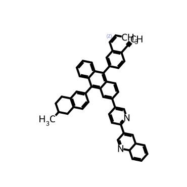 C#Cc1ccc(-c2c3ccccc3c(-c3ccc4c(c3)CCC(C)C4)c3cc(-c4ccc(C5=CC6C=CC=CC6N=C5)nc4)ccc23)cc1/C=C\C